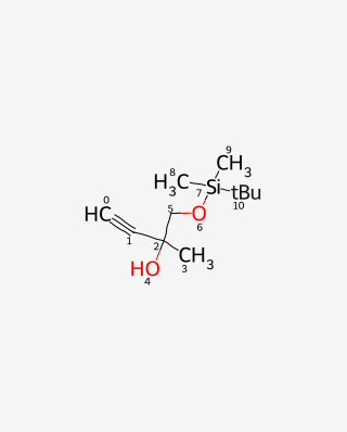 C#CC(C)(O)CO[Si](C)(C)C(C)(C)C